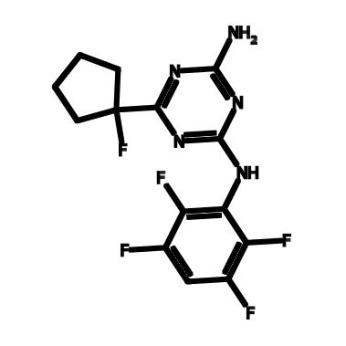 Nc1nc(Nc2c(F)c(F)cc(F)c2F)nc(C2(F)CCCC2)n1